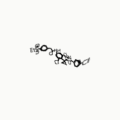 CCS(=O)(=O)c1ccc(CC(=O)Nc2cc(Cl)c(C3(c4nnc(-c5ccc(Cl)cc5)o4)CC3)c(Cl)c2)cc1